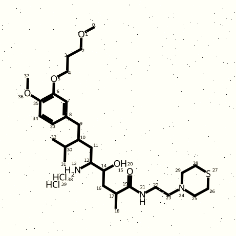 COCCCOc1cc(CC(CC(N)C(O)CC(C)C(=O)NCCN2CCSCC2)C(C)C)ccc1OC.Cl.Cl